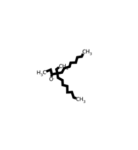 CCCCCCCCC(CC)(CCCCCCCC)C([O])CC